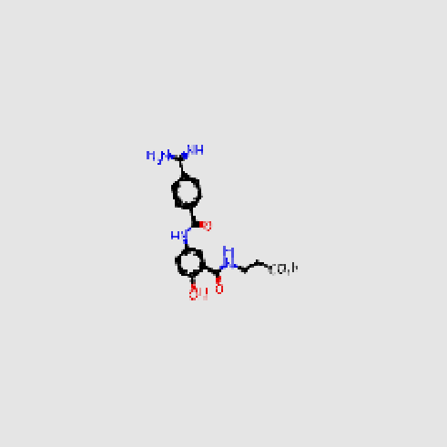 N=C(N)c1ccc(C(=O)Nc2ccc(O)c(C(=O)NCCC(=O)O)c2)cc1